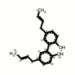 C/C=C/Cc1ccc(O)c(-c2cc(C/C=C/C)ccc2O)c1